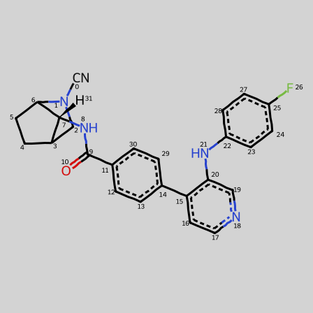 N#CN1CC2CCC1[C@@H]2NC(=O)c1ccc(-c2ccncc2Nc2ccc(F)cc2)cc1